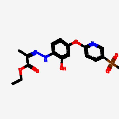 CCOC(=O)C(C)=NNc1ccc(Oc2ccc(S(C)(=O)=O)cn2)cc1O